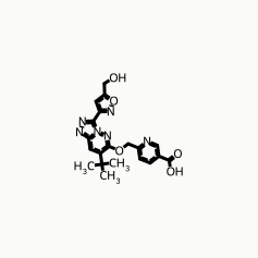 CC(C)(C)c1cc2nnc(-c3cc(CO)on3)n2nc1OCc1ccc(C(=O)O)cn1